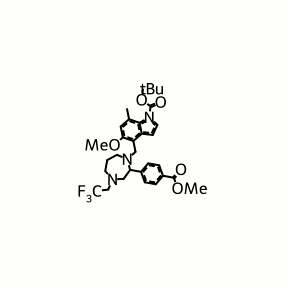 COC(=O)c1ccc(C2CN(CC(F)(F)F)CCCN2Cc2c(OC)cc(C)c3c2ccn3C(=O)OC(C)(C)C)cc1